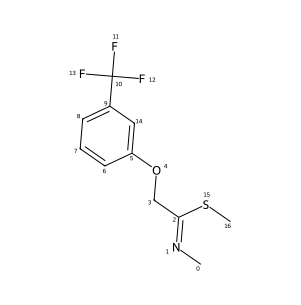 CN=C(COc1cccc(C(F)(F)F)c1)SC